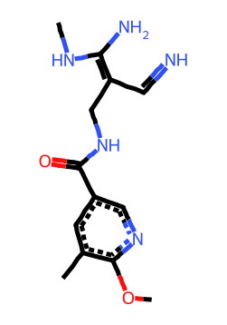 CN/C(N)=C(/C=N)CNC(=O)c1cnc(OC)c(C)c1